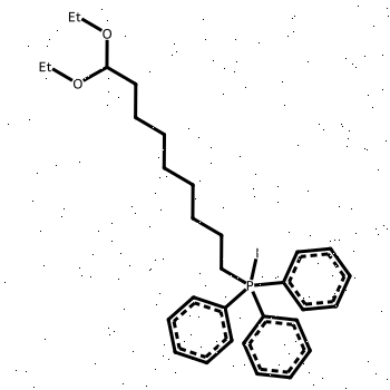 CCOC(CCCCCCCCP(I)(c1ccccc1)(c1ccccc1)c1ccccc1)OCC